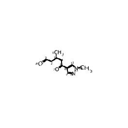 C[C@H](CC=O)CC(=O)c1cnn(C)c1